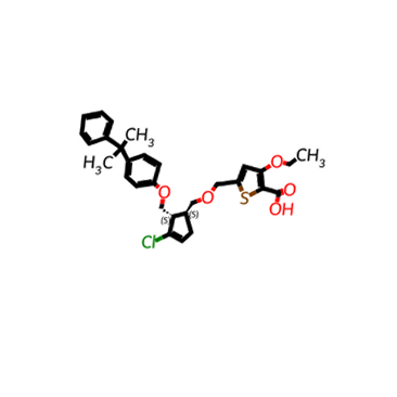 CCOc1cc(COC[C@H]2CC=C(Cl)[C@@H]2COc2ccc(C(C)(C)c3ccccc3)cc2)sc1C(=O)O